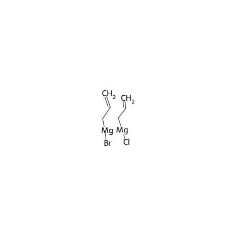 C=C[CH2][Mg][Br].C=C[CH2][Mg][Cl]